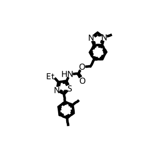 CCc1nc(-c2ccc(C)cc2C)sc1NC(=O)OCc1ccc2c(c1)ncn2C